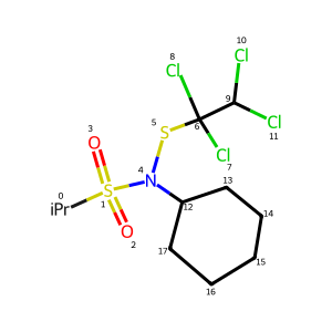 CC(C)S(=O)(=O)N(SC(Cl)(Cl)C(Cl)Cl)C1CCCCC1